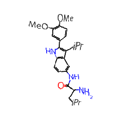 COc1ccc(-c2[nH]c3ccc(NC(=O)C(N)CC(C)C)cc3c2C(C)C)cc1OC